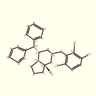 Fc1ccc(F)c(CN2C[C@@H]3CCCN3[C@H](C(c3ccccc3)c3ccccc3)C2)c1F